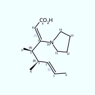 C/C=C/[C@@H](C)[C@@H](C)/C(=C/C(=O)O)N1CCCC1